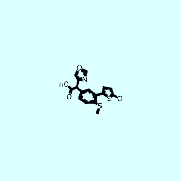 CSc1ccc(C(C(=O)O)c2cocn2)cc1-c1ccc(Cl)s1